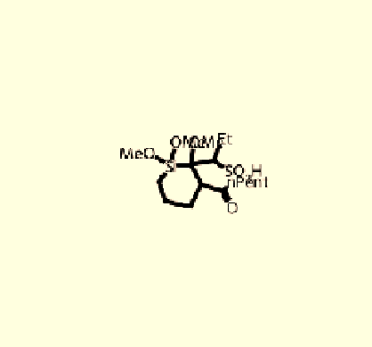 CCCCCC(=O)C1CCC[Si](OC)(OC)C1(OC)C(CC)S(=O)(=O)O